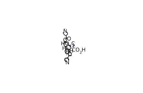 CN1CCC(C(=O)O[C@H]2CC[C@@]3(C)C(=CC[C@@H]4[C@@H]3CC[C@]3(C)C(c5cccnc5)=CC[C@@H]43)C2)CC1.O=C(O)/C=C/C(=O)O